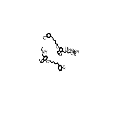 CCNCc1ccc(OCCCCCc2cccc(OC)c2)c2ccoc12.COc1cccc(CCCCCOc2ccc(CNCCOP(=O)(O)O)c3occc23)c1